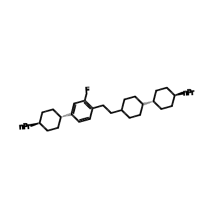 CCC[C@H]1CC[C@H](c2ccc(CCC3CCC([C@H]4CC[C@H](CCC)CC4)CC3)c(F)c2)CC1